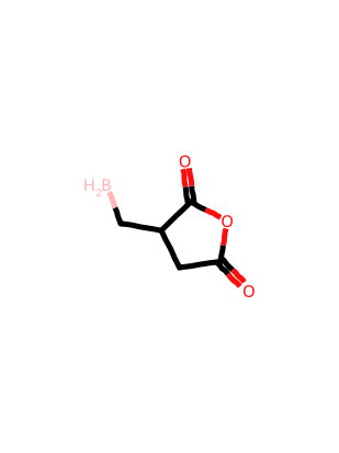 BCC1CC(=O)OC1=O